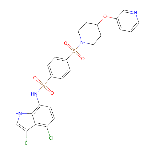 O=S(=O)(Nc1ccc(Cl)c2c(Cl)c[nH]c12)c1ccc(S(=O)(=O)N2CCC(Oc3cccnc3)CC2)cc1